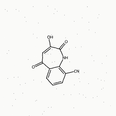 N#Cc1cccc2c(=O)cc(O)c(=O)[nH]c12